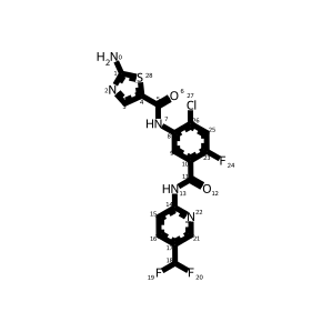 Nc1ncc(C(=O)Nc2cc(C(=O)Nc3ccc(C(F)F)cn3)c(F)cc2Cl)s1